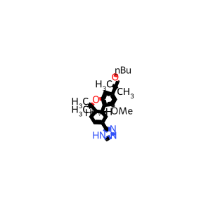 CCCCOCC(C)(C)c1cc(OC)c2c(c1)OC(C)(C)[C@@H]1CC=C(c3nnc[nH]3)C[C@@H]21